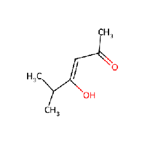 CC(=O)C=C(O)C(C)C